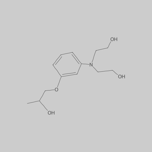 CC(O)COc1cccc(N(CCO)CCO)c1